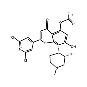 CN1CC[C@H](c2c(O)cc(OC(=O)C(F)(F)F)c3c(=O)cc(-c4cc(Cl)nc(Cl)c4)oc23)[C@H](O)C1